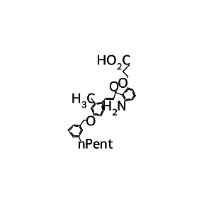 CCCCCc1cccc(COc2ccc(C=CC(=O)c3c(N)cccc3OCCCC(=O)O)c(C)c2)c1